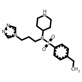 CCc1ccc(S(=O)(=O)N(CCCn2cnnc2)C2CCNCC2)cc1